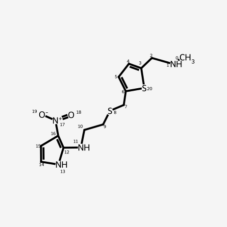 CNCc1ccc(CSCCNc2[nH]ccc2[N+](=O)[O-])s1